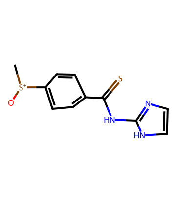 C[S+]([O-])c1ccc(C(=S)Nc2ncc[nH]2)cc1